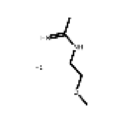 COCCNC(C)=N.Cl